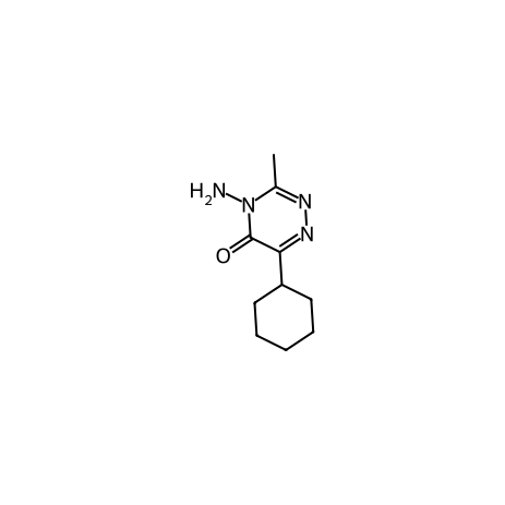 Cc1nnc(C2CCCCC2)c(=O)n1N